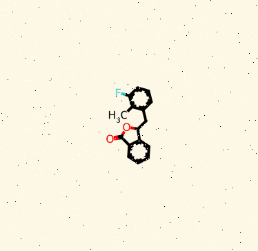 Cc1c(F)cccc1CC1OC(=O)c2ccccc21